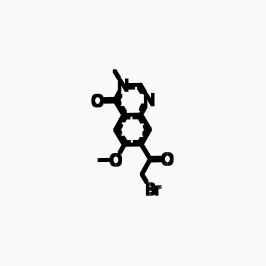 COc1cc2c(=O)n(C)cnc2cc1C(=O)CBr